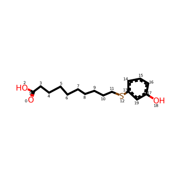 O=C(O)CCCCCCCCCSc1cccc(O)c1